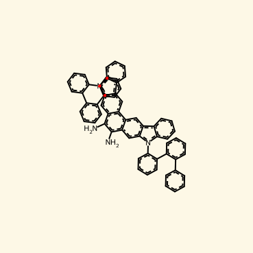 Nc1c(N)c2cc3c(cc2c2cc4c5ccccc5n(-c5ccccc5-c5ccccc5-c5ccccc5)c4cc12)c1ccccc1n3-c1ccccc1-c1ccccc1-c1ccccc1